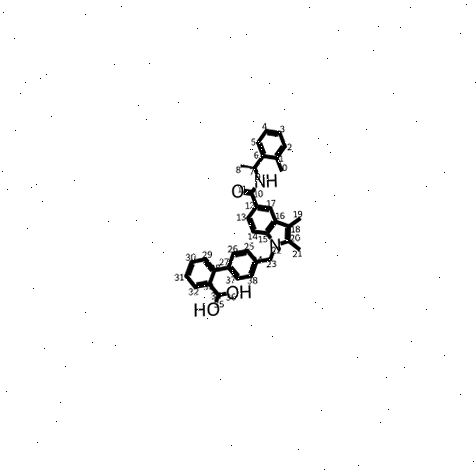 Cc1ccccc1[C@H](C)NC(=O)c1ccc2c(c1)c(C)c(C)n2Cc1ccc(-c2ccccc2C(O)O)cc1